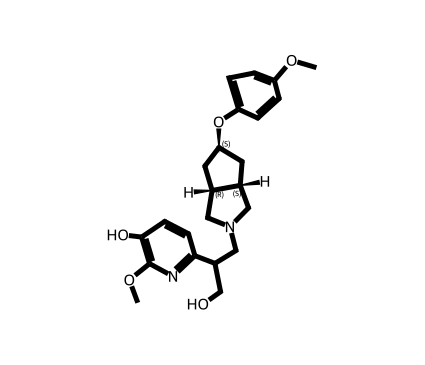 COc1ccc(O[C@H]2C[C@@H]3CN(CC(CO)c4ccc(O)c(OC)n4)C[C@@H]3C2)cc1